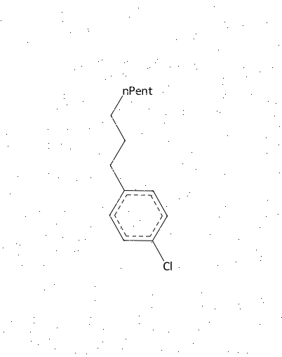 CCCCCCCCc1ccc(Cl)cc1